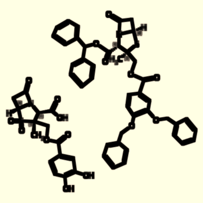 C[C@@]1(COC(=O)c2ccc(OCc3ccccc3)c(OCc3ccccc3)c2)S[C@@H]2CC(=O)N2[C@H]1C(=O)OC(c1ccccc1)c1ccccc1.C[C@]1(COC(=O)c2ccc(O)c(O)c2)[C@H](C(=O)O)N2C(=O)C[C@H]2S1(=O)=O